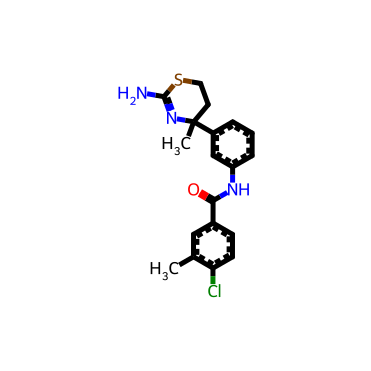 Cc1cc(C(=O)Nc2cccc(C3(C)CCSC(N)=N3)c2)ccc1Cl